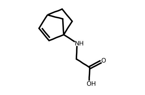 O=C(O)CNC12C=CC(CC1)C2